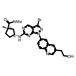 CNC(=O)[C@@]1(C)CC[C@@H](Nc2ncc3c(Br)nn(-c4ccc5ncc(CCO)cc5c4)c3n2)C1